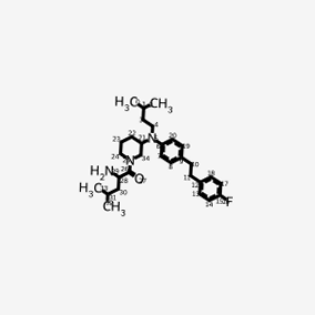 CC(C)CCN(c1ccc(CCc2ccc(F)cc2)cc1)C1CCCN(C(=O)C(N)CC(C)C)C1